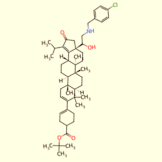 CC(C)C1=C2[C@H]3CC[C@@H]4[C@@]5(C)CC=C(C6=CCC(C(=O)OC(C)(C)C)CC6)C(C)(C)[C@@H]5CC[C@@]4(C)[C@]3(C)CC[C@@]2(C(O)CNCc2ccc(Cl)cc2)CC1=O